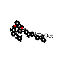 CCCCCCCCC1(CCCCCCCC)c2ccccc2-c2ccc(-c3ccc4c(c3)C(C)(C)c3cc(-c5cc6c7c(c5)C5(c8ccccc8-c8ccccc85)c5cccc8c5N7c5c(cccc5C8(C)C)B6c5c(C)cc(C)cc5C)c(C)cc3-4)cc21